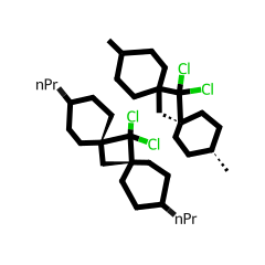 CC1CCC2(CC1)C[C@]1(CC[C@@H](C)CC1)C2(Cl)Cl.CCCC1CC[C@]2(CC1)C[C@@]1(CCC(CCC)CC1)C2(Cl)Cl